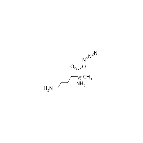 C[C@](N)(CCCCN)C(=O)ON=[N+]=[N-]